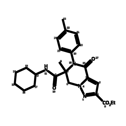 CCOC(=O)c1cc2n(n1)CC(C)(C(=O)NC1CCCCC1)N(c1ccc(C)cc1)C2=O